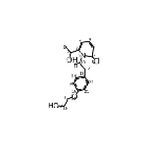 CC(O)C1=CC=CC(Cl)N1C(C)Cc1ccc(OCCO)cc1